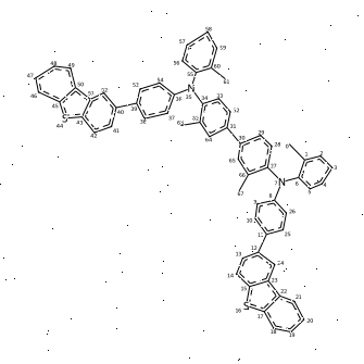 Cc1ccccc1N(c1ccc(-c2ccc3sc4ccccc4c3c2)cc1)c1ccc(-c2ccc(N(c3ccc(-c4ccc5sc6ccccc6c5c4)cc3)c3ccccc3C)c(C)c2)cc1C